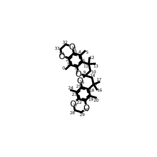 Cc1c2c(c(C)c3c1OC1(CC3(C)C)CC(C)(C)c3c(C)c4c(c(C)c3O1)OCCO4)OCCO2